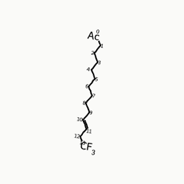 CC(=O)CCCCCCCCCC=CCC(F)(F)F